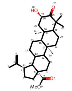 C=C(C)[C@@H]1CC[C@]2(C(=O)OC)CCC3C(CCC4[C@@]3(C)CCC3C(C)(C)C(=O)[C@H](O)C[C@@]34C)C12